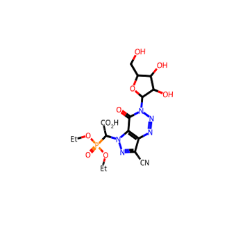 CCOP(=O)(OCC)C(C(=O)O)n1nc(C#N)c2nnn(C3OC(CO)C(O)C3O)c(=O)c21